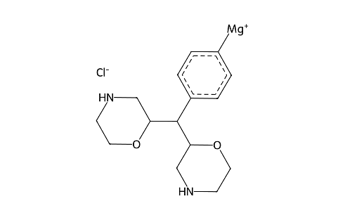 [Cl-].[Mg+][c]1ccc(C(C2CNCCO2)C2CNCCO2)cc1